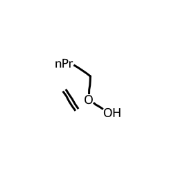 C=C.CCCCOO